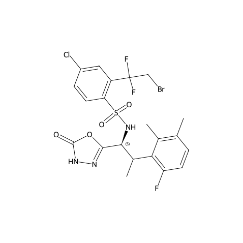 Cc1ccc(F)c(C(C)[C@H](NS(=O)(=O)c2ccc(Cl)cc2C(F)(F)CBr)c2n[nH]c(=O)o2)c1C